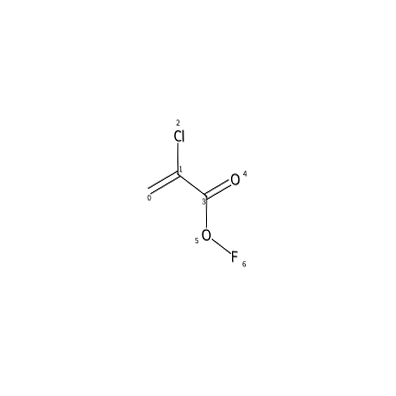 C=C(Cl)C(=O)OF